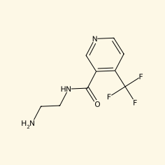 NCCNC(=O)c1cnccc1C(F)(F)F